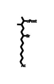 CCCCCC(C)C(C)CCC(Br)CCCCCCCC(C)=O